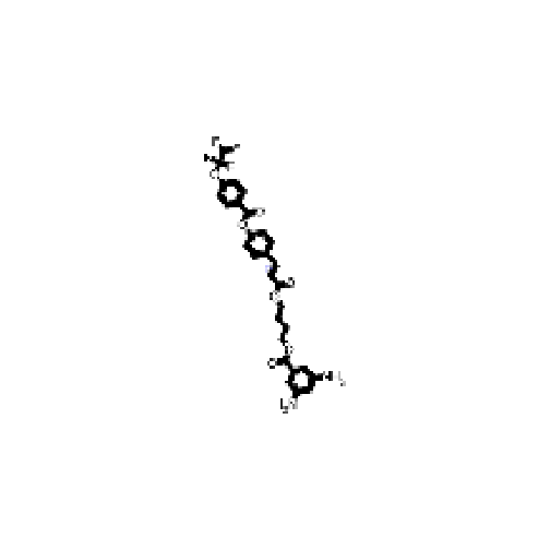 Nc1cc(N)cc(C(=O)OCCCCOC(=O)/C=C/c2ccc(OC(=O)c3ccc(OC(F)(F)C(F)F)cc3)cc2)c1